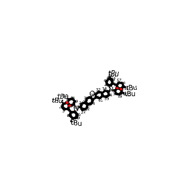 CC(C)(C)c1ccc(-c2cc(C(C)(C)C)ccc2N(c2ccc(C(C)(C)C)cc2)c2ccc3cc4c(cc3c2)oc2cc3cc(N(c5ccc(C(C)(C)C)cc5)c5ccc(C(C)(C)C)cc5-c5ccc(C(C)(C)C)cc5)ccc3cc24)cc1